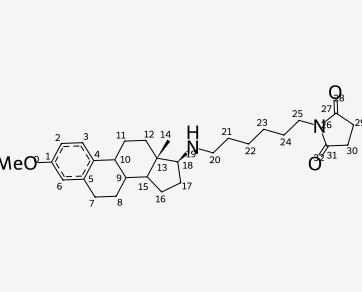 COc1ccc2c(c1)CCC1C2CC[C@@]2(C)C1CC[C@@H]2NCCCCCCN1C(=O)CCC1=O